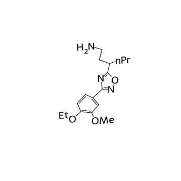 CCCC(CCN)c1nc(-c2ccc(OCC)c(OC)c2)no1